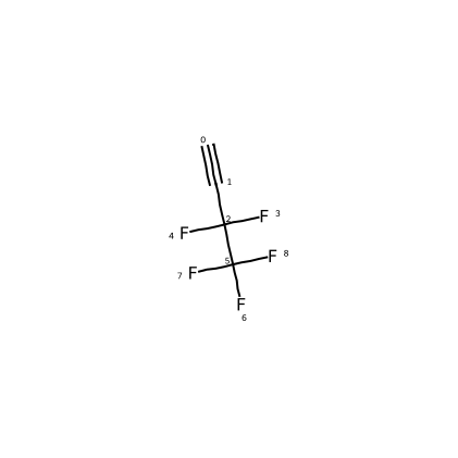 [C]#CC(F)(F)C(F)(F)F